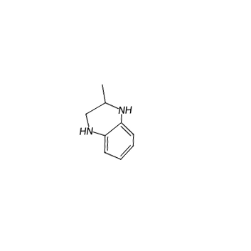 CC1CNc2ccccc2N1